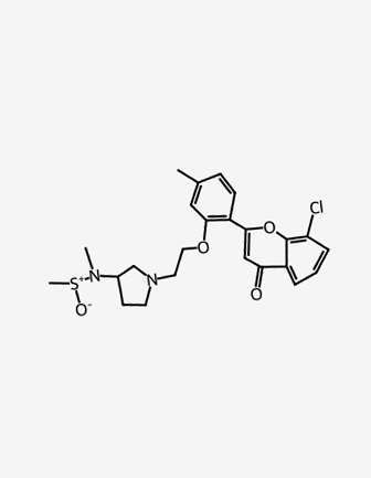 Cc1ccc(-c2cc(=O)c3cccc(Cl)c3o2)c(OCCN2CCC(N(C)[S+](C)[O-])C2)c1